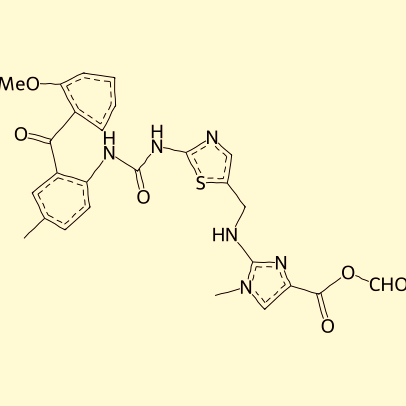 COc1ccccc1C(=O)c1cc(C)ccc1NC(=O)Nc1ncc(CNc2nc(C(=O)OC=O)cn2C)s1